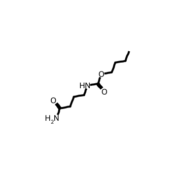 CCCCOC(=O)NCCCC(N)=O